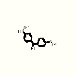 CCCNc1ccc(C(CC)c2ccc(NCCC)cc2)cc1